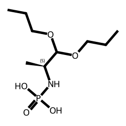 CCCOC(OCCC)[C@H](C)NP(=O)(O)O